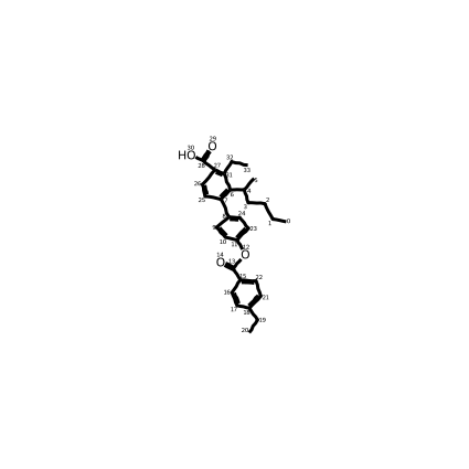 CCCCC(C)c1c(-c2ccc(OC(=O)c3ccc(CC)cc3)cc2)ccc(C(=O)O)c1CC